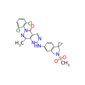 Cc1nn(-c2c(Cl)cccc2Cl)c(=O)c2cnc(Nc3ccc4c(c3)CN(S(C)(=O)=O)CC43CC3)nc12